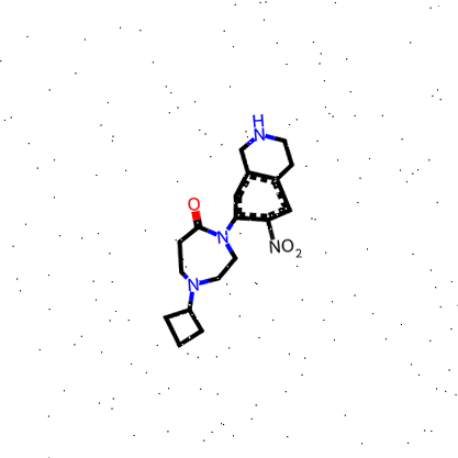 O=C1CCN(C2CCC2)CCN1c1cc2c(cc1[N+](=O)[O-])CCNC2